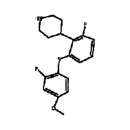 COc1ccc(Sc2cccc(F)c2C2CCNCC2)c(F)c1